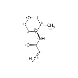 C=CC(=O)N[C@H]1CCOCC1C